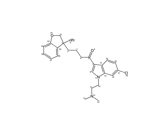 CCCC1(CCCC(=O)c2cn(CCN(C)C)c3cc(Cl)ccc23)COc2ccccc21